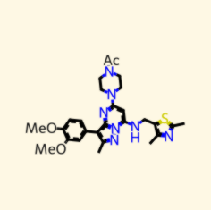 COc1ccc(-c2c(C)nn3c(NCc4sc(C)nc4C)cc(N4CCN(C(C)=O)CC4)nc23)cc1OC